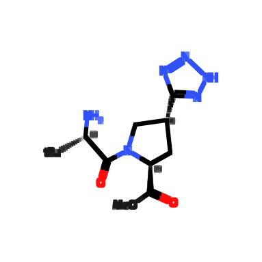 COC(=O)[C@@H]1C[C@@H](c2nn[nH]n2)CN1C(=O)[C@@H](N)C(C)(C)C